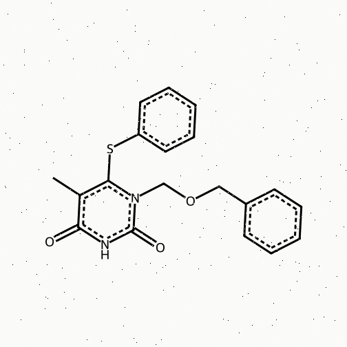 Cc1c(Sc2ccccc2)n(COCc2ccccc2)c(=O)[nH]c1=O